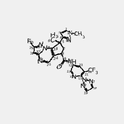 Cn1ccc(C2(C)CC(C(=O)Nc3cnc(-n4nccn4)c(C(F)(F)F)c3)c3cnc4cc(F)nn4c32)n1